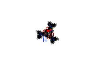 CSN1c2cc3c(cc2B2c4cc(C)ccc4Oc4cc(-n5c6ccc(C)cc6c6cc(C)ccc65)cc1c42)B1c2cc4c(cc2Oc2cc(-n5c6ccc(C)cc6c6cc(C)ccc65)cc(c21)O3)Nc1cc(-n2c3ccc(C)cc3c3cc(C)ccc32)cc2c1B4c1cc(C)ccc1O2